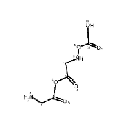 NCC(=O)OC(=O)CNOC(=O)O